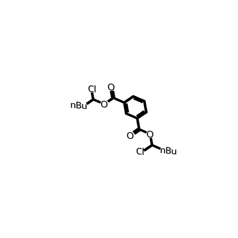 CCCCC(Cl)OC(=O)c1cccc(C(=O)OC(Cl)CCCC)c1